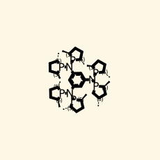 C[C@H]1C[C@H](C)P(N(c2cc(N(P3[C@@H](C)CC[C@@H]3C)P3[C@@H](C)CC[C@@H]3C)cc(N(P3[C@@H](C)CC[C@@H]3C)P3[C@@H](C)CC[C@@H]3C)c2)P2[C@@H](C)CC[C@@H]2C)C1